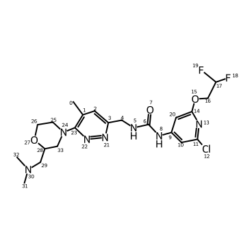 Cc1cc(CNC(=O)Nc2cc(Cl)nc(OCC(F)F)c2)nnc1N1CCOC(CN(C)C)C1